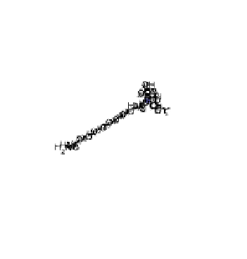 C=C(C)[C@H]1Cc2c(ccc3c2O[C@@H]2COc4cc(CO)c(OC)cc4[C@@H]2/C3=N/OCC(=O)NCCOCCOCCOCCOCCOCCOCCOCCOCCC(=O)NN)O1